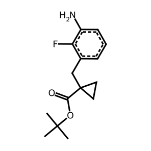 CC(C)(C)OC(=O)C1(Cc2cccc(N)c2F)CC1